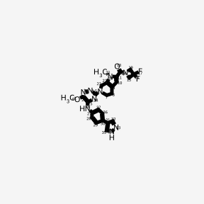 COc1nnc(N2CCc3cc(C(=O)N4CC(F)(F)C4)n(C)c3C2)nc1Nc1ccc(-c2cn[nH]c2)cc1